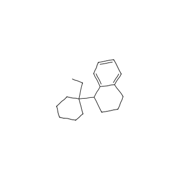 CCC1(C2CCCc3ccccc32)CCCCC1